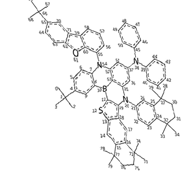 CC(C)(C)c1ccc2c(c1)B1c3sc4cc5c(cc4c3N(c3ccc4c(c3)C(C)(C)CCC4(C)C)c3cc(N(c4ccccc4)c4ccccc4)cc(c31)N2c1cccc2c1oc1ccc(C(C)(C)C)cc12)C(C)(C)CCC5(C)C